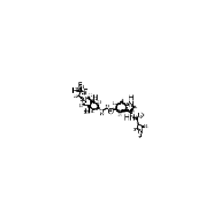 CN1CC(C(=O)Nc2c[nH]c3ccc(OCC[C@@H]4C[C@@H]5CN(CC(F)(F)F)C[C@@H]5C4)cc23)C1